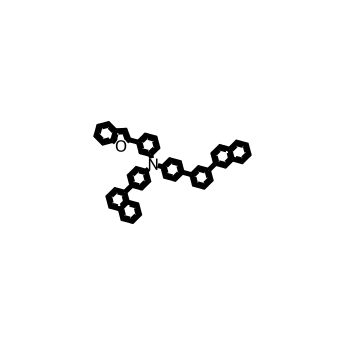 c1cc(-c2ccc(N(c3ccc(-c4cccc5ccccc45)cc3)c3cccc(-c4cc5ccccc5o4)c3)cc2)cc(-c2ccc3ccccc3c2)c1